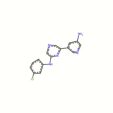 Nc1cncc(-c2cncc(Nc3cccc(Cl)c3)n2)c1